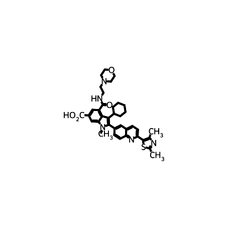 Cc1nc(C)c(-c2ccc3cc(-c4c(C5CCCCC5)c5c(C(=O)NCCN6CCOCC6)cc(C(=O)O)cc5n4C)ccc3n2)s1